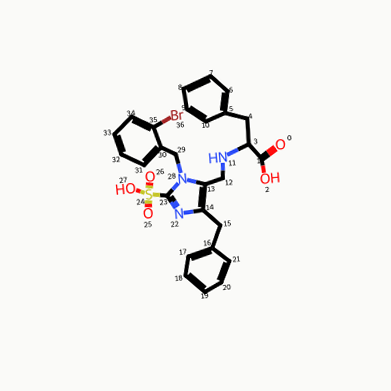 O=C(O)C(Cc1ccccc1)NCc1c(Cc2ccccc2)nc(S(=O)(=O)O)n1Cc1ccccc1Br